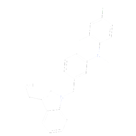 CN(c1cccc(Cn2cc(CC(=O)O)c3ccccc32)c1)c1ccc(Cl)cc1Cl